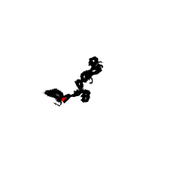 c1cc(-c2ccc3c(c2)sc2ccc4sc5ccccc5c4c23)cc(N(c2ccc(-c3ccc4sc5ccccc5c4c3)cc2)c2ccc3ccccc3c2)c1